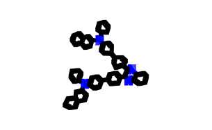 c1ccc(N(c2ccc(-c3ccc(-c4nc5ccccc5nc4-c4ccc(-c5ccc(N(c6ccccc6)c6ccc7ccccc7c6)cc5)cc4)cc3)cc2)c2ccc3ccccc3c2)cc1